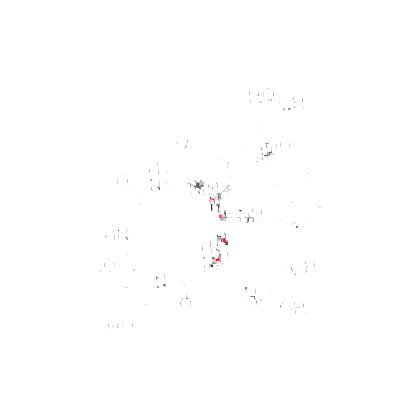 CC1NC(=O)C2CC(O)CN2C(=O)C2CSc3[nH]c4ccccc4c3CC(NC1=O)C(=O)NC(CC(O)(CO)CO)C(=O)NC(C(C)C)C(=O)NC(C(O)C(=O)O)C(=O)N2